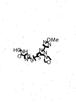 COc1ncc(-c2nc(N3CCOCC3)c3sc(C(C)(C)N(C)c4ncc(C(=O)NO)cn4)cc3n2)cn1